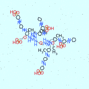 CCCOc1cc(N=Nc2ccc(N=Nc3ccccc3)cc2S(=O)(=O)O)c(C)cc1Cc1nc(Cc2ccc(N=Nc3ccc(N=Nc4ccc(S(=O)(=O)O)cc4)cc3)c(C)c2)nc(NCCOCCNc2nc(Nc3ccc(N=Nc4ccc(N=Nc5ccccc5)cc4S(=O)(=O)O)c(C)c3)nc(Nc3cc(C)c(N=Nc4ccc(N=Nc5ccc(S(=O)(=O)O)cc5)cc4)cc3OCCCS(=O)(=O)O)n2)n1